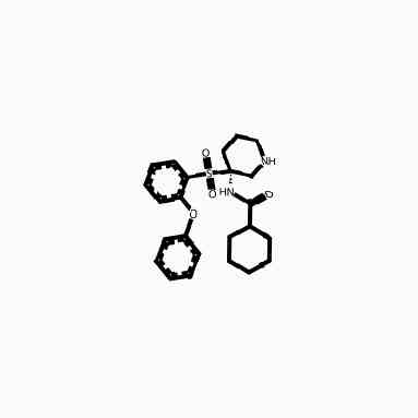 O=C(N[C@]1(S(=O)(=O)c2ccccc2Oc2ccccc2)CCCNC1)C1CCCCC1